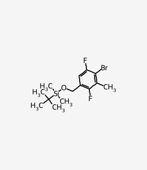 Cc1c(F)c(CO[Si](C)(C)C(C)(C)C)cc(F)c1Br